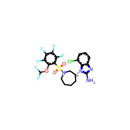 Nc1nc2cccc(Cl)c2n1[C@@H]1CCCCN(S(=O)(=O)c2c(F)c(F)c(F)c(F)c2OC(F)F)C1